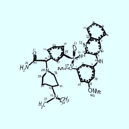 COc1cc(Nc2nc3ccccc3nc2NS(=O)(=O)c2cccc(C(C(N)=O)N3CCC(N(C)C)CC3)c2)cc(OC)c1